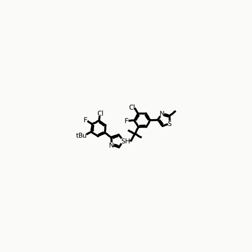 Cc1nc(-c2cc(Cl)c(F)c(C(C)(C)C[SH]3C=NC(c4cc(Cl)c(F)c(C(C)(C)C)c4)=C3)c2)cs1